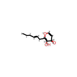 CCC/C=C/Cc1occc(=O)c1O